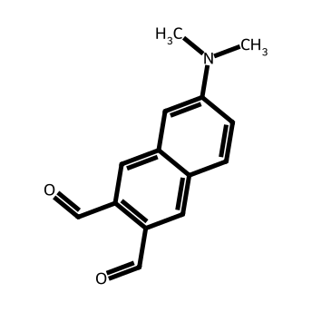 CN(C)c1ccc2cc(C=O)c(C=O)cc2c1